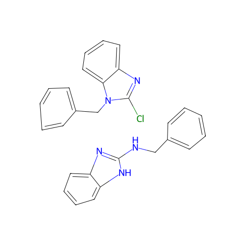 Clc1nc2ccccc2n1Cc1ccccc1.c1ccc(CNc2nc3ccccc3[nH]2)cc1